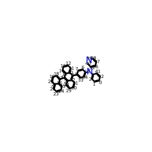 c1ccc(N(c2ccc(-c3c4ccccc4c(-c4cccc5ccccc45)c4ccccc34)cc2)c2cccnc2)cc1